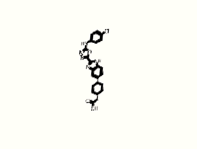 O=C(O)C[C@H]1CC[C@H](c2ccc3[nH]c(-c4nnc(Nc5ccc(Cl)cc5)o4)nc3c2)CC1